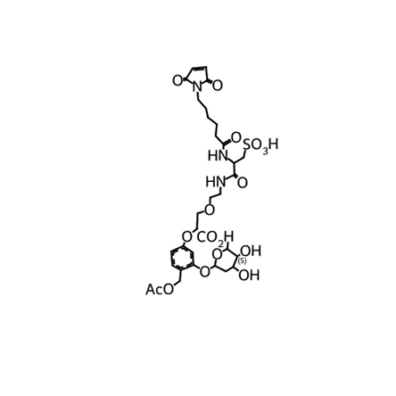 CC(=O)OCc1ccc(OCCOCCNC(=O)C(CS(=O)(=O)O)NC(=O)CCCCCN2C(=O)C=CC2=O)cc1OC1CC(O)[C@H](O)C(C(=O)O)O1